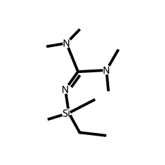 CC[Si](C)(C)N=C(N(C)C)N(C)C